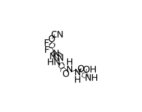 Cc1cc(Nc2nccn3c(-c4ccc(OCC#N)c(F)c4F)cnc23)ccc1C(=O)NCCNC(=O)[C@@H]1CCNC[C@@H]1O